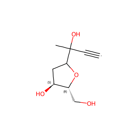 [C]#CC(C)(O)C1C[C@H](O)[C@@H](CO)O1